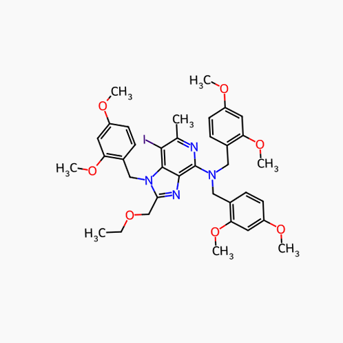 CCOCc1nc2c(N(Cc3ccc(OC)cc3OC)Cc3ccc(OC)cc3OC)nc(C)c(I)c2n1Cc1ccc(OC)cc1OC